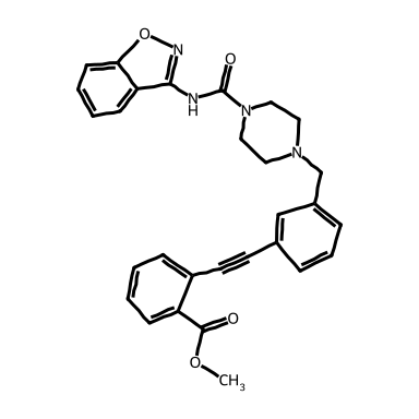 COC(=O)c1ccccc1C#Cc1cccc(CN2CCN(C(=O)Nc3noc4ccccc34)CC2)c1